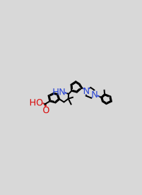 Cc1ccccc1N1CCN(c2cccc(C3Nc4ccc(C(=O)O)cc4CC3(C)C)c2)CC1